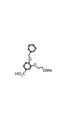 COCCOc1cc(C(=O)O)ccc1OCc1ccccc1